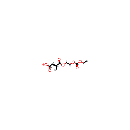 CCOC(=O)OCCOC(=O)/C(C)=C/C(=O)O